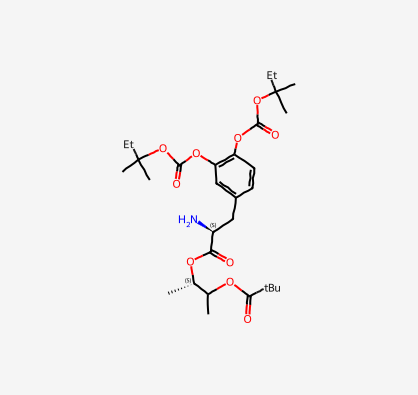 CCC(C)(C)OC(=O)Oc1ccc(C[C@H](N)C(=O)O[C@@H](C)C(C)OC(=O)C(C)(C)C)cc1OC(=O)OC(C)(C)CC